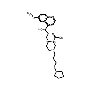 COc1ccc2nccc(C(O)CC[C@@H]3CCN(CCCSC4CCCC4)C[C@@H]3C(=O)O)c2c1